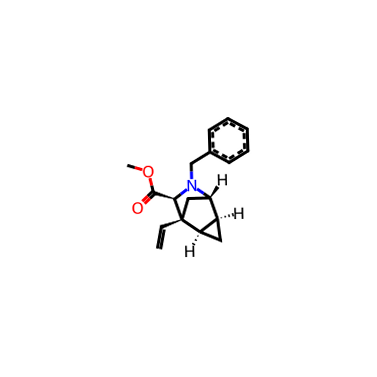 C=C[C@@]12C[C@@H]([C@H]3C[C@H]31)N(Cc1ccccc1)[C@@H]2C(=O)OC